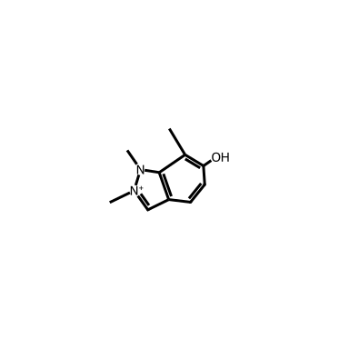 Cc1c(O)ccc2c[n+](C)n(C)c12